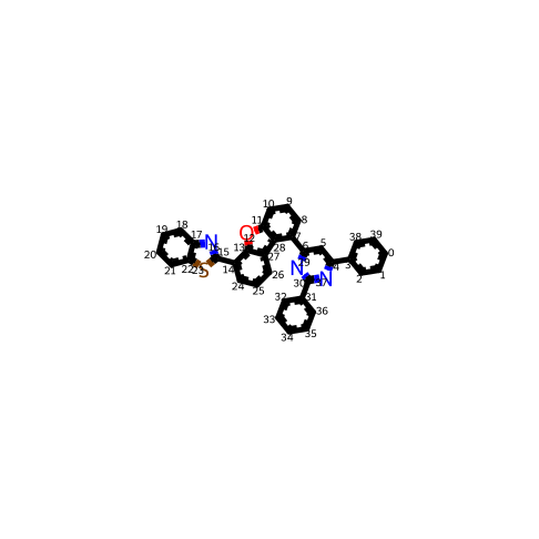 c1ccc(-c2cc(-c3cccc4oc5c(-c6nc7ccccc7s6)cccc5c34)nc(-c3ccccc3)n2)cc1